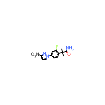 CC(C)(C(N)=O)c1ccc(-n2ccc([N+](=O)[O-])n2)cc1F